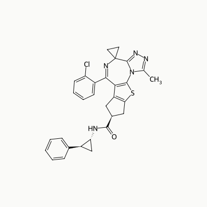 Cc1nnc2n1-c1sc3c(c1C(c1ccccc1Cl)=NC21CC1)C[C@H](C(=O)N[C@@H]1C[C@H]1c1ccccc1)C3